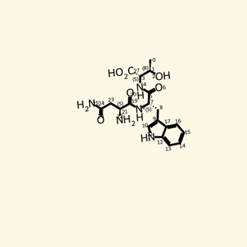 C[C@@H](O)[C@H](NC(=O)[C@H](Cc1c[nH]c2ccccc12)NC(=O)[C@@H](N)CC(N)=O)C(=O)O